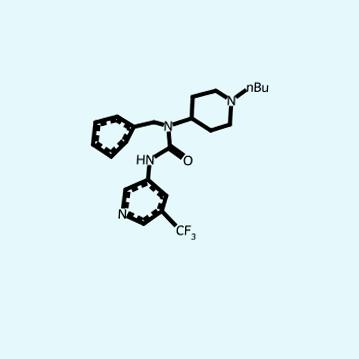 CCCCN1CCC(N(Cc2ccccc2)C(=O)Nc2cncc(C(F)(F)F)c2)CC1